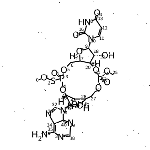 COSP1(=O)OC[C@H]2O[C@@H](n3ccc(=O)[nH]c3=O)[C@H](O)[C@@H]2OP(=O)(OC)OC[C@H]2O[C@@H](n3cnc4c(N)ncnc43)[C@H](O1)[C@@H]2O